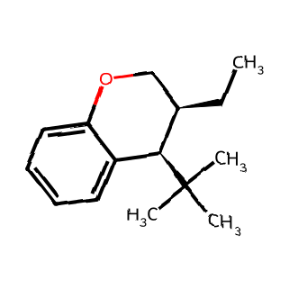 CC[C@@H]1COc2ccccc2[C@@H]1C(C)(C)C